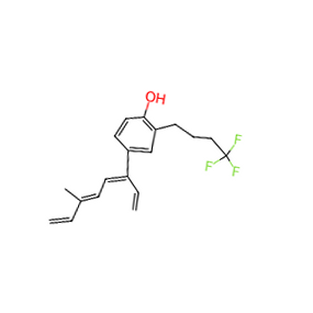 C=C/C(C)=C/C=C(\C=C)c1ccc(O)c(CCCC(F)(F)F)c1